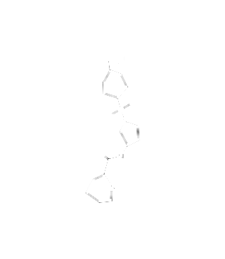 O=C(O)c1ccc(S(=O)(=O)n2ccc(NC(=O)c3ccccn3)c2)cc1